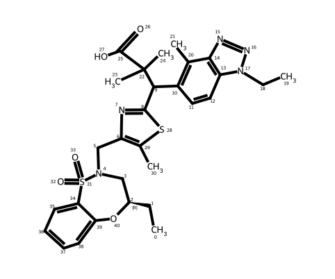 CC[C@@H]1CN(Cc2nc(C(c3ccc4c(nnn4CC)c3C)C(C)(C)C(=O)O)sc2C)S(=O)(=O)c2ccccc2O1